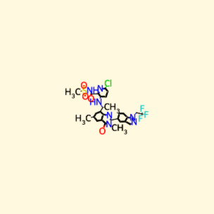 Cc1cc([C@@H](C)Nc2ccc(Cl)nc2C(=O)NS(C)(=O)=O)c2nc(-c3ccc4c(cnn4CC(F)(F)F)c3)n(C)c(=O)c2c1